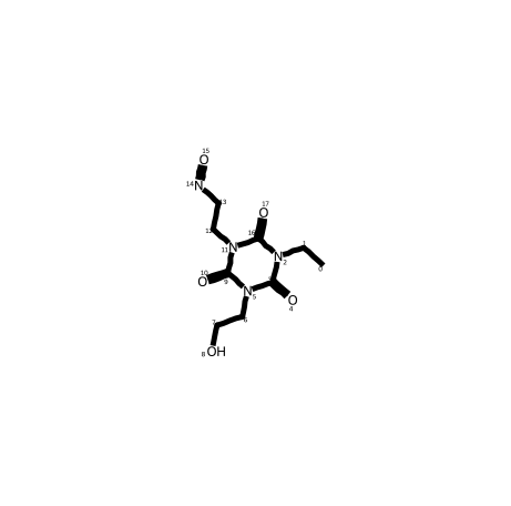 CCn1c(=O)n(CCO)c(=O)n(CCN=O)c1=O